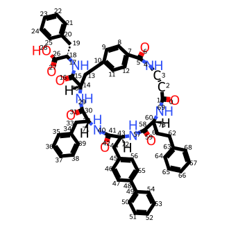 O=C1CCNC(=O)c2ccc(cc2)C[C@@H](C(=O)N[C@@H](Cc2ccccc2)C(=O)O)NC(=O)[C@@H](Cc2ccccc2)NC(=O)[C@H](Cc2ccc(-c3ccccc3)cc2)NC(=O)[C@@H](CCc2ccccc2)N1